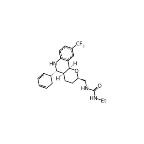 CCNC(=O)NC[C@H]1CC[C@@H]2[C@H](O1)c1cc(C(F)(F)F)ccc1N[C@H]2C1C=CC=CC1